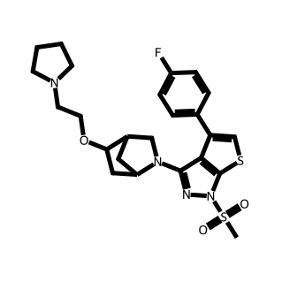 CS(=O)(=O)n1nc(N2CC3CC2CC3OCCN2CCCC2)c2c(-c3ccc(F)cc3)csc21